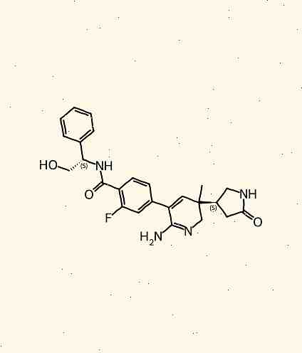 CC1([C@H]2CNC(=O)C2)C=C(c2ccc(C(=O)N[C@H](CO)c3ccccc3)c(F)c2)C(N)=NC1